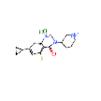 Cl.O=c1c2c(F)cc(C3CC3)cc2ncn1C1CCCNC1